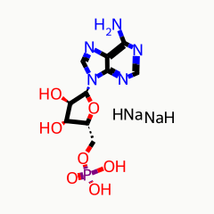 Nc1ncnc2c1ncn2[C@@H]1O[C@H](COP(=O)(O)O)[C@@H](O)[C@H]1O.[NaH].[NaH]